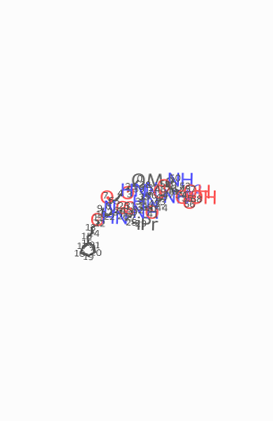 COCCOCCC(=O)N1C[C@@H](OCCCCc2ccccc2)C[C@H]1C(=O)N[C@@H](CC(C)C)C(=O)N[C@@H](Cc1cnc[nH]1)C(=O)N[C@@H](C)C(=O)N[C@H](C(N)=O)[C@@H](C)OP(=O)(O)O